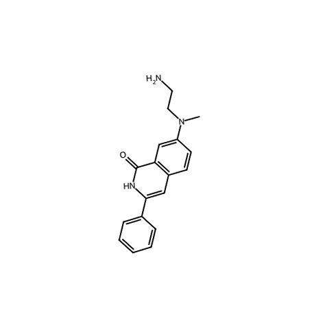 CN(CCN)c1ccc2cc(-c3ccccc3)[nH]c(=O)c2c1